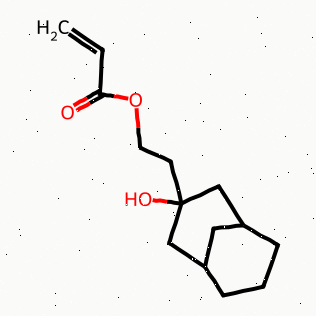 C=CC(=O)OCCC1(O)CC2CCCC(C2)C1